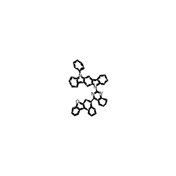 c1ccc(-n2c3ccccc3c3cc4c(cc32)c2ccccc2n4-c2nc(-c3cc4oc5ccccc5c4c4ccccc34)c3ccccc3n2)cc1